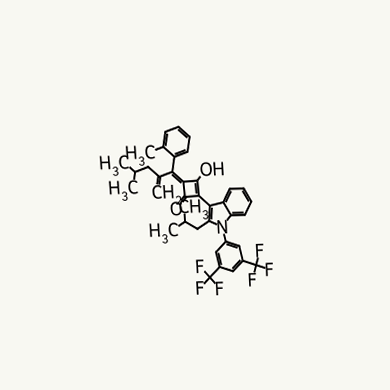 C=C(CC(C)C)/C(=C1\C(=O)C(c2c(CC(C)C)n(-c3cc(C(F)(F)F)cc(C(F)(F)F)c3)c3ccccc23)=C1O)c1ccccc1C